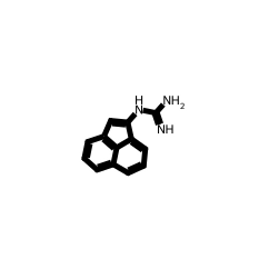 N=C(N)NC1=Cc2cccc3cccc1c23